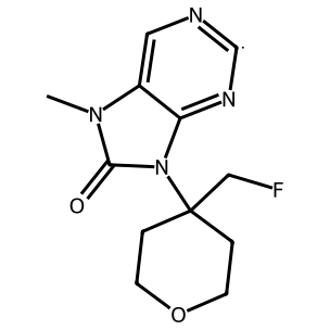 Cn1c(=O)n(C2(CF)CCOCC2)c2n[c]ncc21